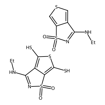 CCNC1=NS(=O)(=O)c2c(S)sc(S)c21.CCNC1=NS(=O)(=O)c2cscc21